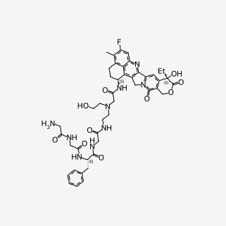 CC[C@@]1(O)C(=O)OCc2c1cc1n(c2=O)Cc2c-1nc1cc(F)c(C)c3c1c2[C@@H](NC(=O)CN(CCO)CCNC(=O)CNC(=O)[C@H](Cc1ccccc1)NC(=O)CNC(=O)CN)CC3